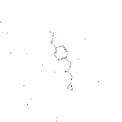 CCOc1ccc(CNCC2CC2)nn1